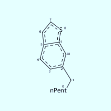 CCCCCCc1ccc2ccsc2c1